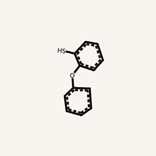 Sc1ccc[c]c1Oc1ccccc1